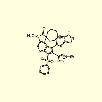 CC(C)n1cc(-c2c(-c3ccc4[nH]ncc4c3)c3c4c(cnc3n2S(=O)(=O)c2ccccc2)N(C)C(=O)C42CCCNCC2)cn1